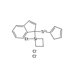 CC[Si]1([C]2([Ti+2][C]3=CC=CC3)C=Cc3ccccc32)CCC1.[Cl-].[Cl-]